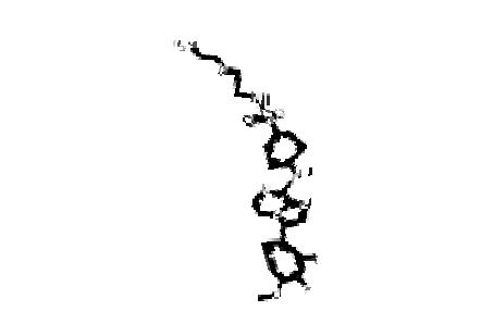 COc1ccc(-c2cnc3c(Nc4ccc(S(=O)(=O)NCCOCCN)cc4)nccn23)c(F)c1F